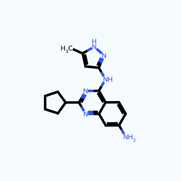 Cc1cc(Nc2nc(C3CCCC3)nc3cc(N)ccc23)n[nH]1